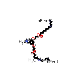 CCCCC/C=C\CC=C=C/C=C/CC(C)CCC(=O)OCCCOc1cc(CN(C)C)cc(OCCCOC(=O)CCCCCCC/C=C\C/C=C\CCCCC)c1